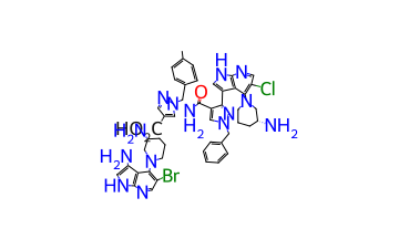 Cc1ccc(Cn2cc(C(=O)O)cn2)cc1.NC(=O)c1cn(Cc2ccccc2)nc1-c1c[nH]c2ncc(Cl)c(N3CCC[C@@H](N)C3)c12.Nc1c[nH]c2ncc(Br)c(N3CCC[C@@H](N)C3)c12